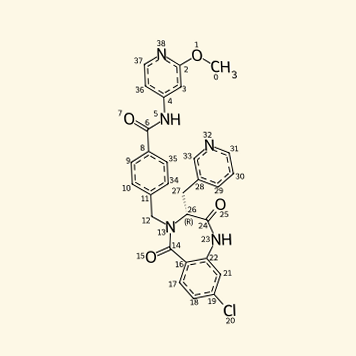 COc1cc(NC(=O)c2ccc(CN3C(=O)c4ccc(Cl)cc4NC(=O)[C@H]3Cc3cccnc3)cc2)ccn1